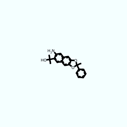 CC(C)(O)c1cc2cc3c(cc2cc1N)OC(C)(c1ccccc1)O3